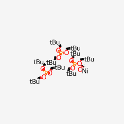 CC(C)(C)COP(OCC(C)(C)C)OCC(C)(C)C.CC(C)(C)COP(OCC(C)(C)C)OCC(C)(C)C.CC(C)(C)COP(OCC(C)(C)C)OCC(C)(C)C.[C]=O.[Ni]